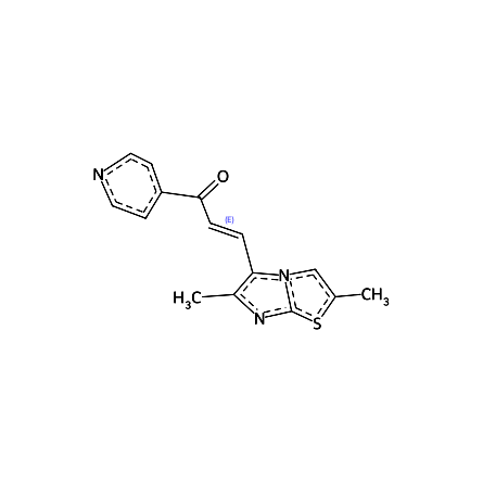 Cc1cn2c(/C=C/C(=O)c3ccncc3)c(C)nc2s1